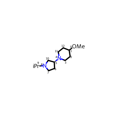 COC1CCN([C@H]2CCN(C(C)C)C2)CC1